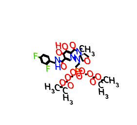 CC(C)OC(=O)OCOP(=O)(CCN1n2cc(C(=O)NCc3ccc(F)cc3F)c(=O)c(O)c2C(=O)N(C)[C@]12CCOC2)OCOC(=O)OC(C)C